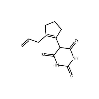 C=CCC1=C(C2C(=O)NC(=O)NC2=O)CCC1